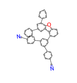 N#Cc1ccc(-c2cc(-c3ccc(C#N)cc3)cc(-c3cccc4oc5c(-c6ccccc6)cc(-c6ccccc6)cc5c34)c2)cc1